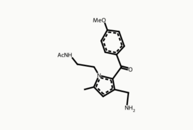 COc1ccc(C(=O)c2c(CN)cc(C)n2CCNC(C)=O)cc1